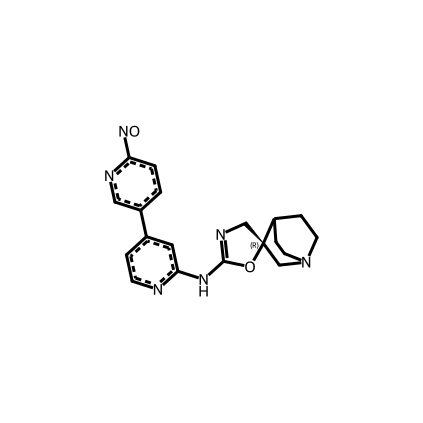 O=Nc1ccc(-c2ccnc(NC3=NC[C@@]4(CN5CCC4CC5)O3)c2)cn1